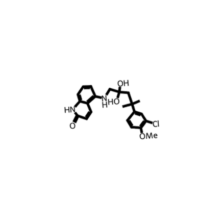 COc1ccc(C(C)(C)CC(O)(O)CNc2cccc3[nH]c(=O)ccc23)cc1Cl